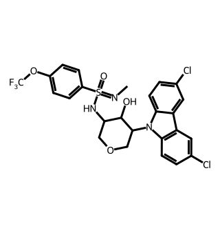 CN=S(=O)(NC1COCC(n2c3ccc(Cl)cc3c3cc(Cl)ccc32)C1O)c1ccc(OC(F)(F)F)cc1